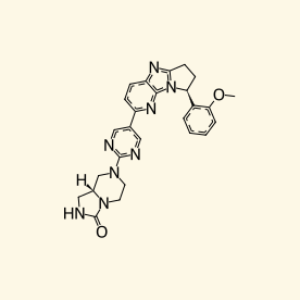 COc1ccccc1[C@@H]1CCc2nc3ccc(-c4cnc(N5CCN6C(=O)NC[C@@H]6C5)nc4)nc3n21